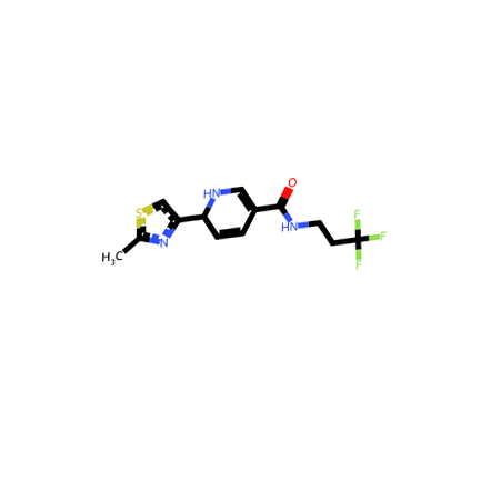 Cc1nc(C2C=CC(C(=O)NCCC(F)(F)F)=CN2)cs1